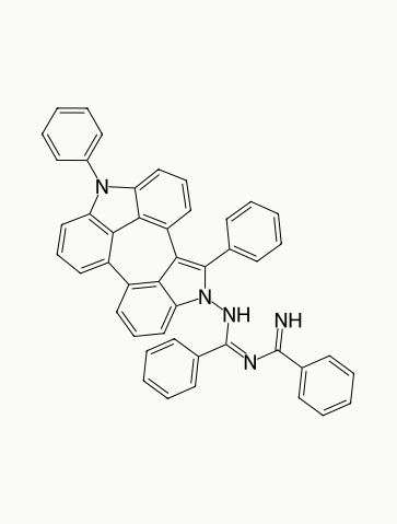 N=C(/N=C(\Nn1c(-c2ccccc2)c2c3c(cccc31)-c1cccc3c1c1c-2cccc1n3-c1ccccc1)c1ccccc1)c1ccccc1